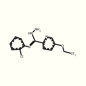 NN/C(=N\c1ccccc1Cl)c1ccc(OCC(F)(F)F)cn1